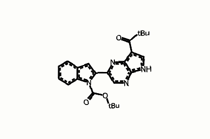 CC(C)(C)OC(=O)n1c(-c2cnc3[nH]cc(C(=O)C(C)(C)C)c3n2)cc2ccccc21